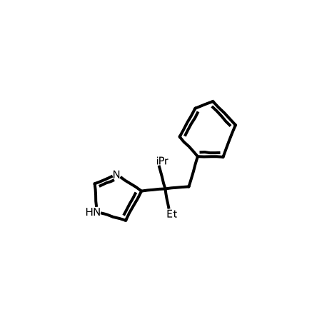 [CH2]C(C)C(CC)(Cc1ccccc1)c1c[nH]cn1